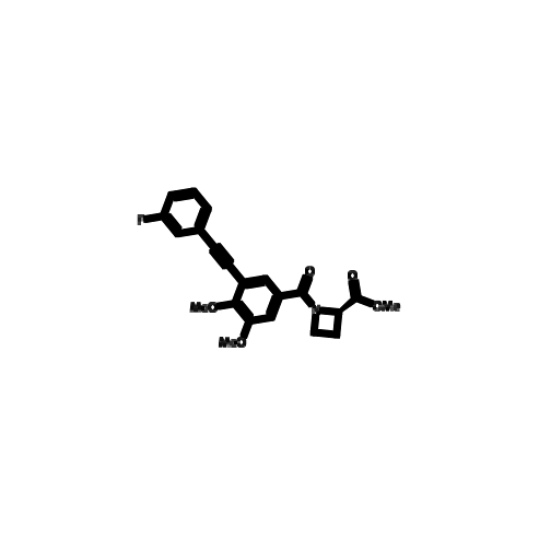 COC(=O)[C@H]1CCN1C(=O)c1cc(C#Cc2cccc(F)c2)c(OC)c(OC)c1